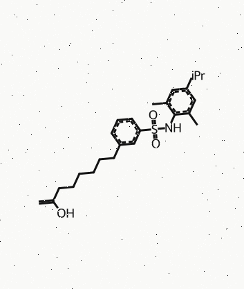 C=C(O)CCCCCCc1cccc(S(=O)(=O)Nc2c(C)cc(C(C)C)cc2C)c1